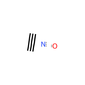 C#C.[N].[O]